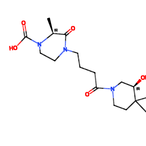 C[C@H]1C(=O)N(CCCC(=O)N2CCC(C)(C)[C@H](O)C2)CCN1C(=O)O